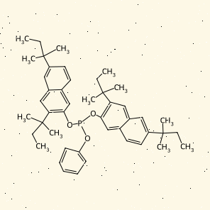 CCC(C)(C)c1ccc2cc(OP(Oc3ccccc3)Oc3cc4ccc(C(C)(C)CC)cc4cc3C(C)(C)CC)c(C(C)(C)CC)cc2c1